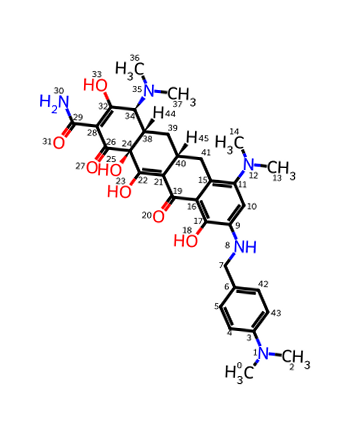 CN(C)c1ccc(CNc2cc(N(C)C)c3c(c2O)C(=O)C2=C(O)[C@]4(O)C(=O)C(C(N)=O)=C(O)[C@@H](N(C)C)[C@@H]4C[C@@H]2C3)cc1